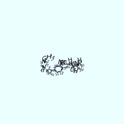 CN1CCN(C(=O)c2cc(-c3ccc(C[C@@H](C#N)NC(=O)[C@H]4N[C@@H]5CC[C@H]4C5)c(F)c3)cs2)CC1